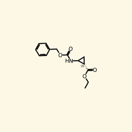 CCOC(=O)[C@H]1CC1NC(=O)OCc1ccccc1